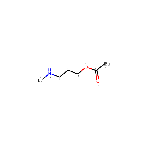 CCNCCCOC(=O)C(C)CC